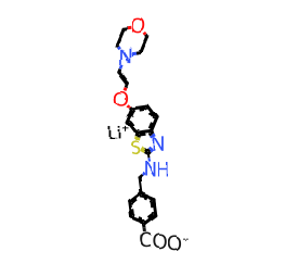 O=C([O-])c1ccc(CNc2nc3ccc(OCCN4CCOCC4)cc3s2)cc1.[Li+]